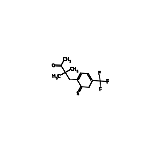 CC(=O)C(C)(C)CC1=CC=C(C(F)(F)F)CC1=S